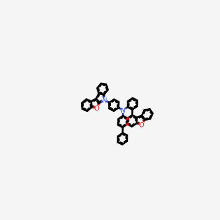 c1ccc(-c2ccc(N(c3ccc(-n4c5ccccc5c5c6ccccc6oc54)cc3)c3ccccc3-c3cccc4oc5ccccc5c34)cc2)cc1